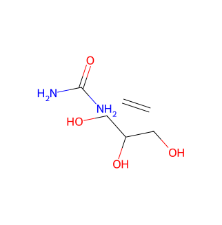 C=C.NC(N)=O.OCC(O)CO